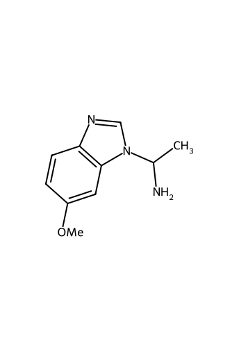 COc1ccc2ncn(C(C)N)c2c1